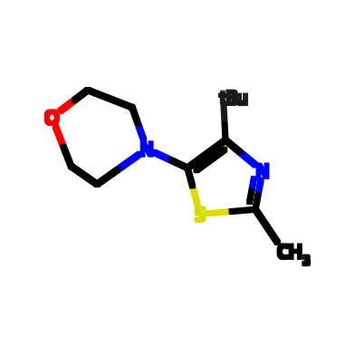 Cc1nc(C(C)(C)C)c(N2CCOCC2)s1